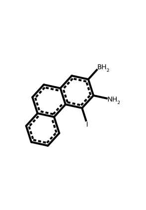 Bc1cc2ccc3ccccc3c2c(I)c1N